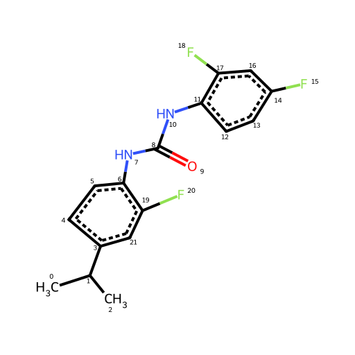 CC(C)c1ccc(NC(=O)Nc2ccc(F)cc2F)c(F)c1